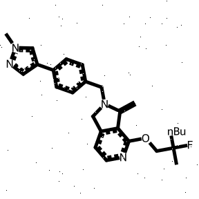 C=C1c2c(ccnc2OCC(C)(F)CCCC)CN1Cc1ccc(-c2cnn(C)c2)cc1